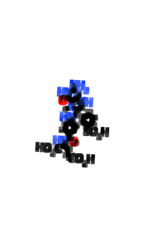 CN1c2c(nc(N)[nH]c2=O)NC[C@@H]1CNc1ccc(C(=O)NC(CCC(=O)O)C(=O)O)cc1.O=S(=O)(O)c1ccccc1